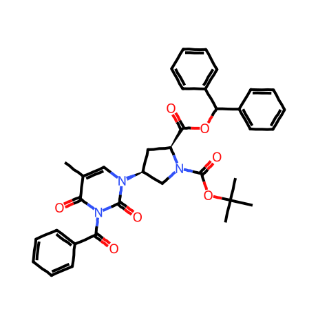 Cc1cn([C@H]2C[C@@H](C(=O)OC(c3ccccc3)c3ccccc3)N(C(=O)OC(C)(C)C)C2)c(=O)n(C(=O)c2ccccc2)c1=O